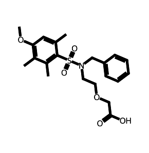 COc1cc(C)c(S(=O)(=O)N(CCOCC(=O)O)Cc2ccccc2)c(C)c1C